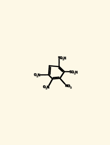 O=[N+]([O-])c1cc(S(=O)(=O)O)c(S(=O)(=O)O)c([N+](=O)[O-])c1[N+](=O)[O-]